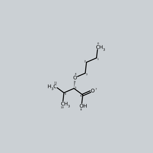 CCCCO[C@H](C(=O)O)C(C)C